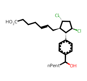 CCCCCC(O)c1ccc([C@@H]2[C@@H](CC=CCCCC(=O)O)[C@H](Cl)C[C@H]2Cl)cc1